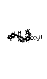 O=C(O)c1ccc(-c2cc(NCCc3ccc4c(c3)CCS4)ncn2)cc1OC1CCC1